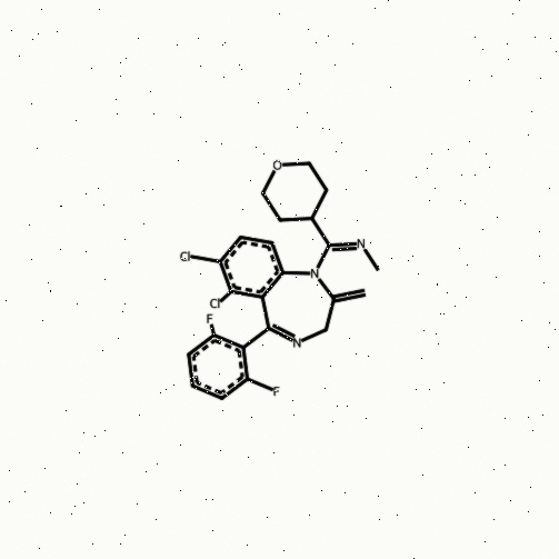 C=C1CN=C(c2c(F)cccc2F)c2c(ccc(Cl)c2Cl)N1/C(=N\C)C1CCOCC1